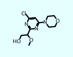 COC(CO)c1nc(Cl)cc(N2CCOCC2)n1